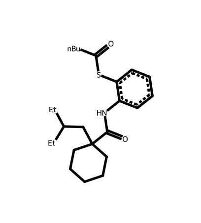 CCCCC(=O)Sc1ccccc1NC(=O)C1(CC(CC)CC)CCCCC1